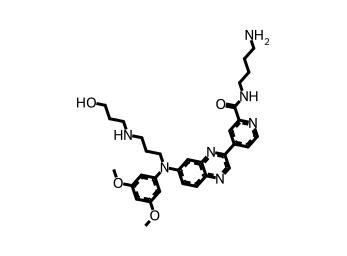 COc1cc(OC)cc(N(CCCNCCCO)c2ccc3ncc(-c4ccnc(C(=O)NCCCCN)c4)nc3c2)c1